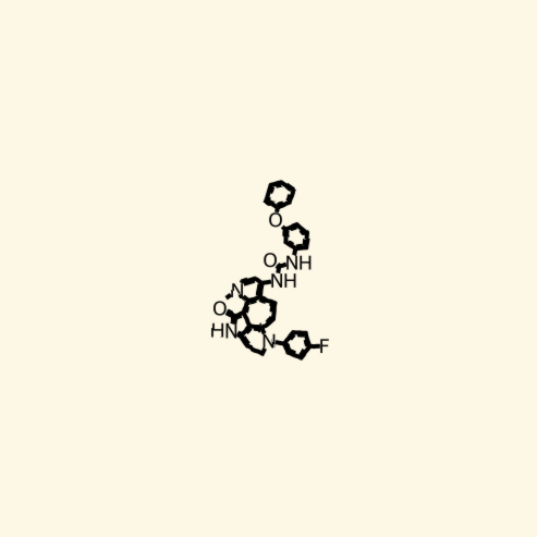 CN1C=CC(NC(=O)Nc2cccc(Oc3ccccc3)c2)=c2ccc3c4c([nH]c(=O)c-4c21)=CCN3c1ccc(F)cc1